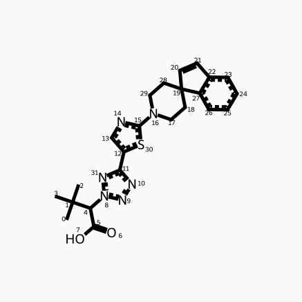 CC(C)(C)C(C(=O)O)n1nnc(-c2cnc(N3CCC4(C=Cc5ccccc54)CC3)s2)n1